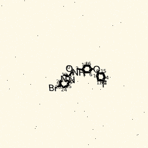 O=C(NCc1ccc(Oc2ccc(F)cc2)cc1)c1cn2cc(Br)ccc2n1